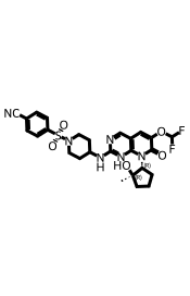 C[C@@]1(O)CCC[C@H]1n1c(=O)c(OC(F)F)cc2cnc(NC3CCN(S(=O)(=O)c4ccc(C#N)cc4)CC3)nc21